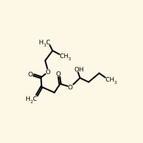 C=C(CC(=O)OC(O)CCC)C(=O)OCC(C)C